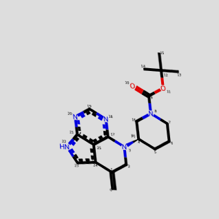 C=C1CN([C@@H]2CCCN(C(=O)OC(C)(C)C)C2)c2ncnc3[nH]cc1c23